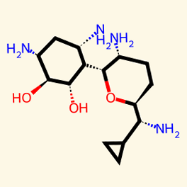 N[C@@H]1C[C@H](N)C([C@H]2O[C@H]([C@H](N)C3CC3)CC[C@H]2N)[C@H](O)[C@H]1O